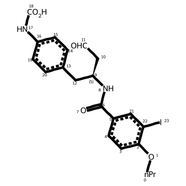 CCCOc1ccc(C(=O)N[C@H](CC=O)Cc2ccc(NC(=O)O)cc2)cc1I